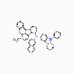 CC1C=CC2=C3C(=c4ccccc4=CC31)c1cccc(N(c3ccc4c(c3)C3C=CC=CC3N4c3ccccc3)c3ccc4ccccc4c3)c12